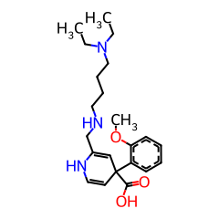 CCN(CC)CCCCNCC1=CC(C(=O)O)(c2ccccc2OC)C=CN1